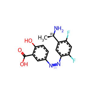 C[C@@H](N)c1cc(/N=N\c2ccc(O)c(C(=O)O)c2)c(F)cc1F